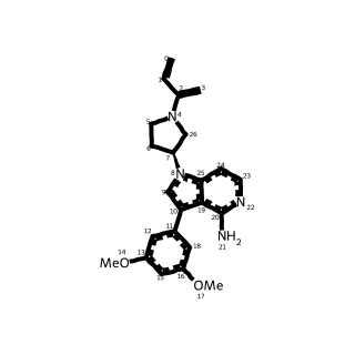 C=CC(=C)N1CC[C@H](n2cc(-c3cc(OC)cc(OC)c3)c3c(N)nccc32)C1